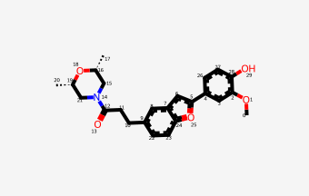 COc1cc(-c2cc3cc(CCC(=O)N4C[C@@H](C)O[C@@H](C)C4)ccc3o2)ccc1O